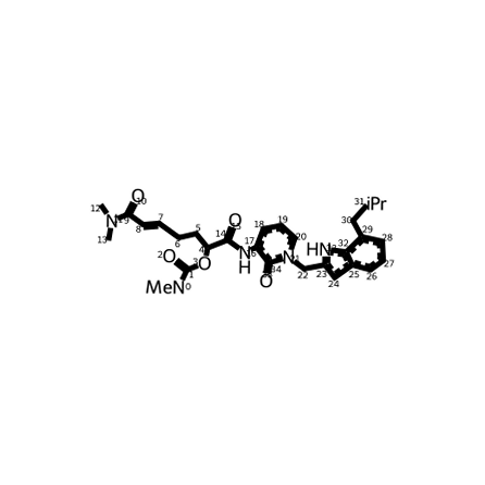 CNC(=O)OC(CC/C=C/C(=O)N(C)C)C(=O)Nc1cccn(Cc2cc3cccc(CC(C)C)c3[nH]2)c1=O